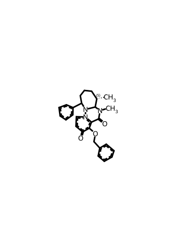 C[C@H]1CCCC(c2ccccc2)N2C1N(C)C(=O)c1c(OCc3ccccc3)c(=O)ccn12